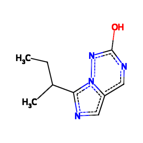 CCC(C)c1ncc2cnc(O)nn12